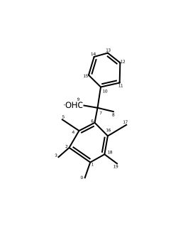 Cc1c(C)c(C)c(C(C)([C]=O)c2ccccc2)c(C)c1C